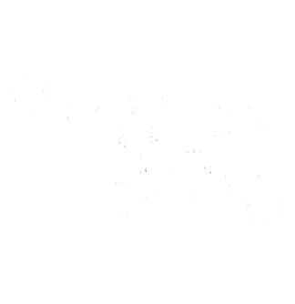 c1ccc(-c2ccc(-c3nc(-n4c5ccccc5c5ccc6c(c7ccc8oc9ccccc9c8c7n6-c6ccc7ccccc7c6)c54)nc4ccccc34)cc2)cc1